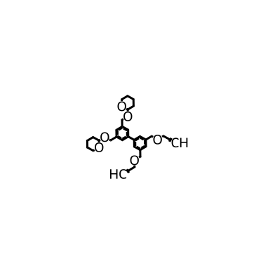 C#CCOCc1cc(COCC#C)cc(-c2cc(COC3CCCCO3)cc(COC3CCCCO3)c2)c1